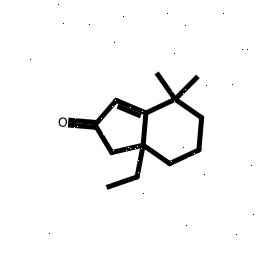 CCC12CCCC(C)(C)C1=CC(=O)C2